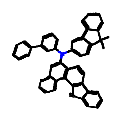 CC1(C)c2ccccc2-c2cc(N(c3cccc(-c4ccccc4)c3)c3cc4ccccc4c4c3ccc3c5ccccc5[se]c34)ccc21